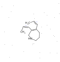 C/C=C\C1=C(/C=C\C)CNCCC1